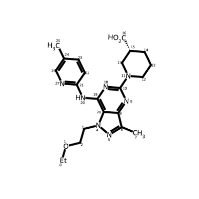 CCOCCn1nc(C)c2nc(N3CCC[C@@H](C(=O)O)C3)nc(Nc3ccc(C)cn3)c21